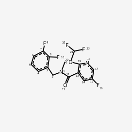 CN(Cc1cccc(F)c1F)C(=O)c1cc(F)cnc1OC(F)F